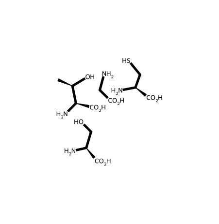 C[C@@H](O)[C@H](N)C(=O)O.NCC(=O)O.N[C@@H](CO)C(=O)O.N[C@@H](CS)C(=O)O